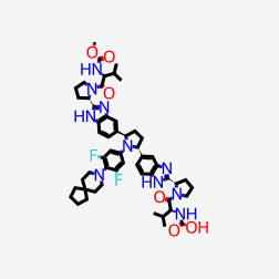 COC(=O)N[C@H](C(=O)N1CCC[C@H]1c1nc2cc([C@H]3CC[C@H](c4ccc5[nH]c([C@@H]6CCCN6C(=O)[C@@H](NC(=O)O)C(C)C)nc5c4)N3c3cc(F)c(N4CCC5(CCCC5)CC4)c(F)c3)ccc2[nH]1)C(C)C